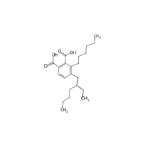 CCCCCCc1c(CC(CC)CCCC)ccc(C(=O)O)c1C(=O)O